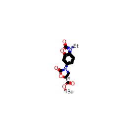 CCCCOC(=O)[C@H]1CN(c2ccc3c(c2)oc(=O)n3CC)C(=O)O1